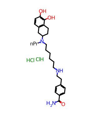 CCCN(CCCCCCNCCc1ccc(C(N)=O)cc1)C1CCc2c(ccc(O)c2O)C1.Cl.Cl